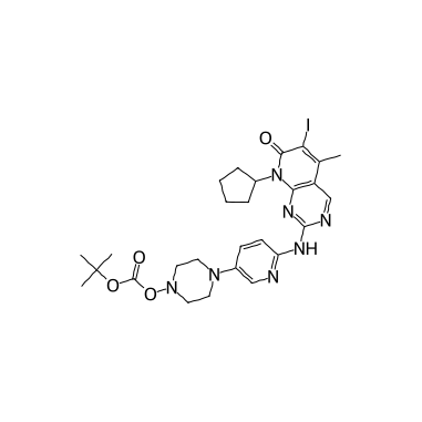 Cc1c(I)c(=O)n(C2CCCC2)c2nc(Nc3ccc(N4CCN(OC(=O)OC(C)(C)C)CC4)cn3)ncc12